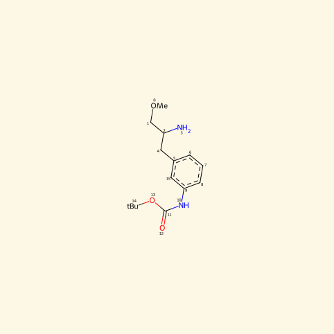 COCC(N)Cc1cccc(NC(=O)OC(C)(C)C)c1